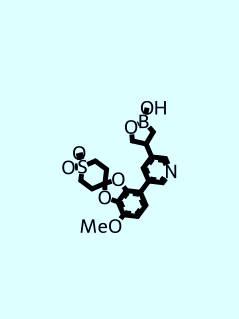 COc1ccc(-c2cncc(C3COB(O)C3)c2)c2c1OC1(CCS(=O)(=O)CC1)O2